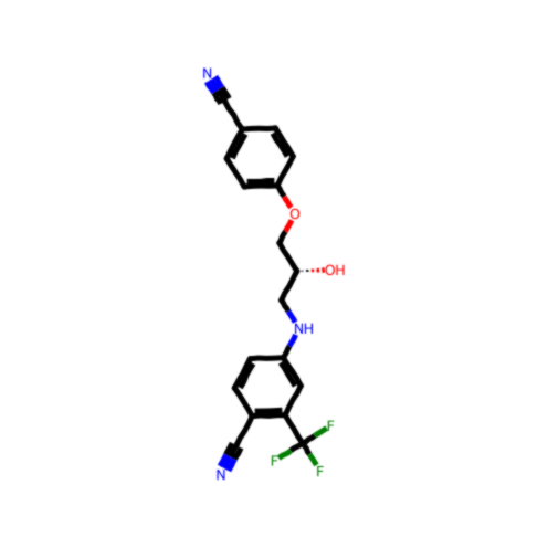 N#Cc1ccc(OC[C@H](O)CNc2ccc(C#N)c(C(F)(F)F)c2)cc1